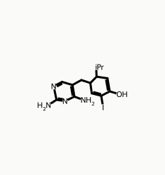 CC(C)C1C=C(O)C(I)=CC1Cc1cnc(N)nc1N